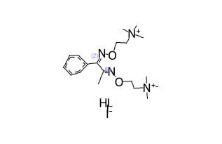 CC(=N\OCC[N+](C)(C)C)/C(=N\OCC[N+](C)(C)C)c1ccccc1.I.[I-].[I-]